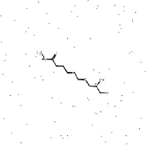 NNC(=O)CCCCCOC[C@@H](O)CF